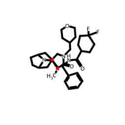 CN1C(=O)N(CC2CCOCC2)CC12CC1CCC(C2)N1CC[C@H](NC(=O)C1CCC(F)(F)CC1)c1ccccc1